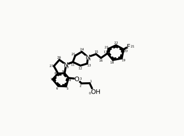 OCCOc1cccc2c1N(C1CCN(CCc3ccc(F)cc3)CC1)CC2